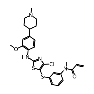 C=CC(=O)Nc1cccc(Sc2sc(Nc3ccc(C4CCN(C)CC4)cc3OC)nc2Cl)c1